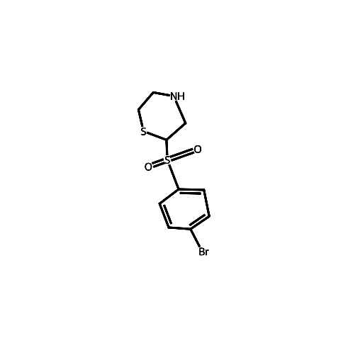 O=S(=O)(c1ccc(Br)cc1)C1CNCCS1